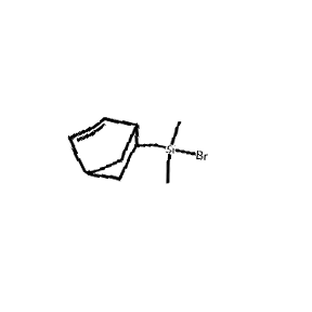 C[Si](C)(Br)C1CC2C=CC1C2